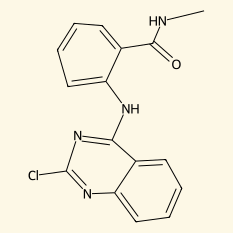 CNC(=O)c1ccccc1Nc1nc(Cl)nc2ccccc12